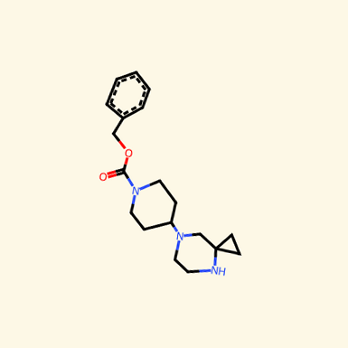 O=C(OCc1ccccc1)N1CCC(N2CCNC3(CC3)C2)CC1